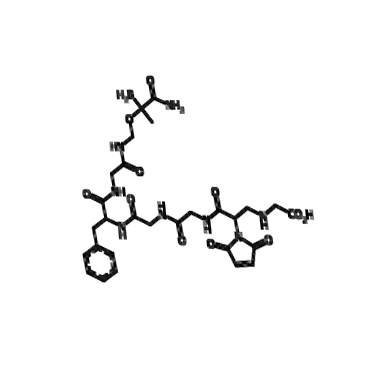 BC(C)(OCNC(=O)CNC(=O)C(Cc1ccccc1)NC(=O)CNC(=O)CNC(=O)C(CNCC(=O)O)N1C(=O)C=CC1=O)C(N)=O